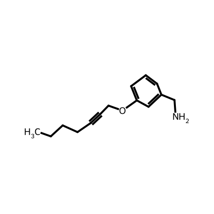 CCCCC#CCOc1cccc(CN)c1